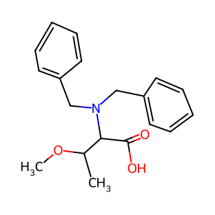 COC(C)C(C(=O)O)N(Cc1ccccc1)Cc1ccccc1